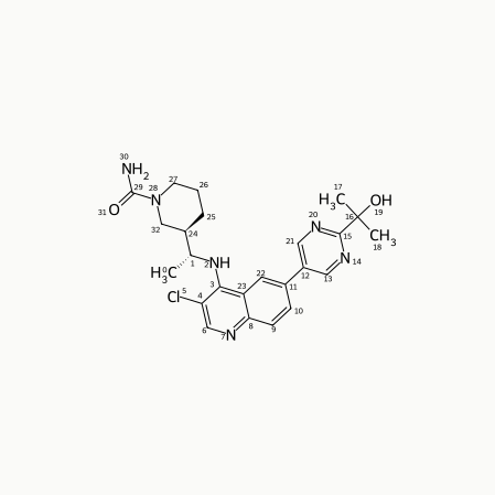 C[C@@H](Nc1c(Cl)cnc2ccc(-c3cnc(C(C)(C)O)nc3)cc12)[C@@H]1CCCN(C(N)=O)C1